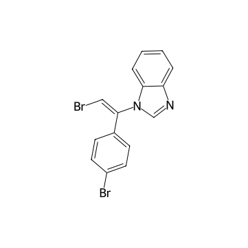 BrC=C(c1ccc(Br)cc1)n1cnc2ccccc21